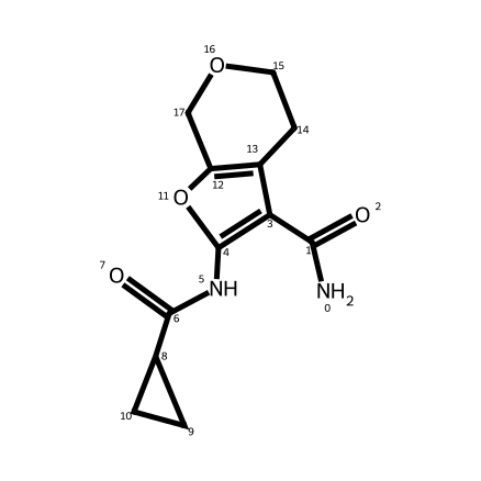 NC(=O)c1c(NC(=O)C2CC2)oc2c1CCOC2